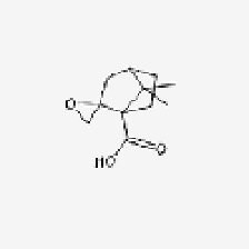 CC1(C)C2CCC1(C(=O)O)C1(CO1)C2